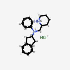 Cl.c1ccc(N(CC2CCCCN2)C2Cc3ccccc3C2)cc1